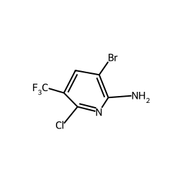 Nc1nc(Cl)c(C(F)(F)F)cc1Br